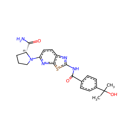 CC(C)(O)c1ccc(C(=O)Nc2nc3ccc(N4CCC[C@@H]4C(N)=O)nc3s2)cc1